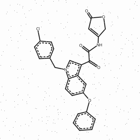 O=C1C=C(NC(=O)C(=O)c2cn(Cc3ccc(Cl)cc3)c3ccc(Oc4ccccc4)cc23)CO1